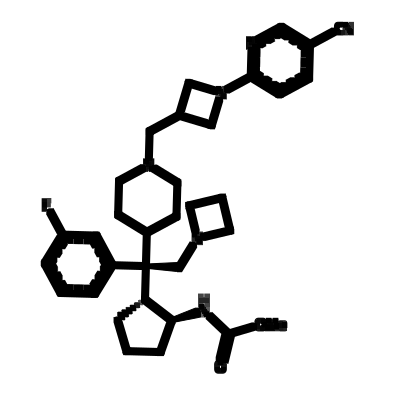 COC(=O)N[C@H]1CCC[C@@H]1[C@](CN1CCC1)(c1cccc(F)c1)C1CCN(CC2CN(c3ccc(C#N)cn3)C2)CC1